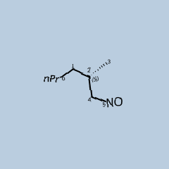 CCCC[C@H](C)CN=O